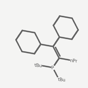 CCCC(=C(C1CCCCC1)C1CCCCC1)P(C(C)(C)C)C(C)(C)C